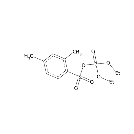 CCOP(=O)(OCC)OS(=O)(=O)c1ccc(C)cc1C